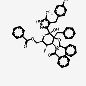 COc1ccc(Cc2c([C@@]3(O)O[C@H](COC(=O)c4ccccc4)[C@@H](F)[C@H](OC(=O)c4ccccc4)[C@@]3(Cc3ccccc3)OC(=O)c3ccccc3)n[nH]c2C(F)(F)F)cc1